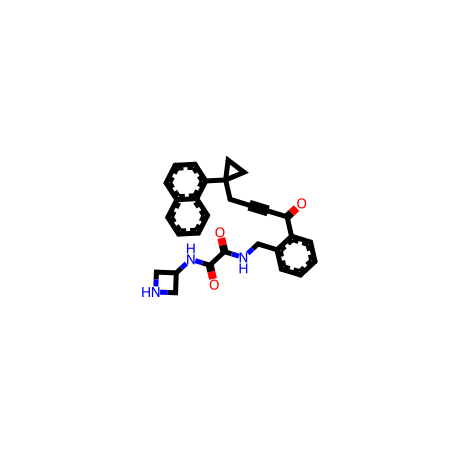 O=C(NCc1ccccc1C(=O)C#CCC1(c2cccc3ccccc23)CC1)C(=O)NC1CNC1